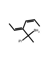 BC(C)(C(/C=C\C)=C/C)C(C)C